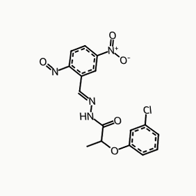 CC(Oc1cccc(Cl)c1)C(=O)N/N=C/c1cc([N+](=O)[O-])ccc1N=O